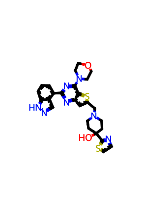 OC1(c2nccs2)CCN(Cc2cc3nc(-c4cccc5[nH]ncc45)nc(N4CCOCC4)c3s2)CC1